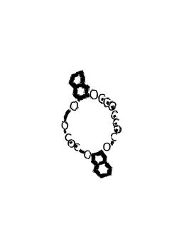 c1ccc2cc3c(cc2c1)OCCOCCOCCOc1cc2ccccc2cc1OCCOCCOCCO3